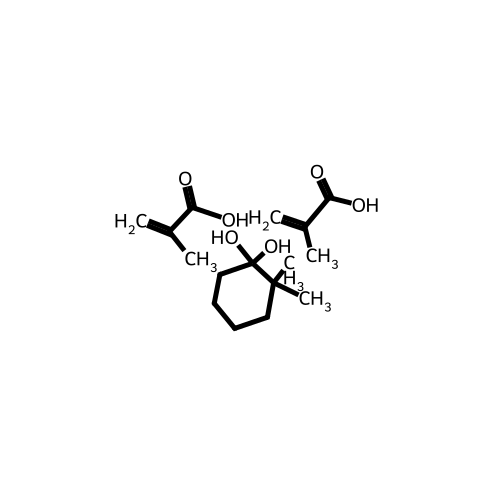 C=C(C)C(=O)O.C=C(C)C(=O)O.CC1(C)CCCCC1(O)O